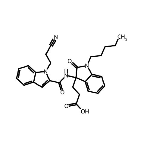 CCCCCN1C(=O)C(CCC(=O)O)(NC(=O)c2cc3ccccc3n2CCC#N)c2ccccc21